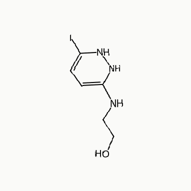 OCCNC1=CC=C(I)NN1